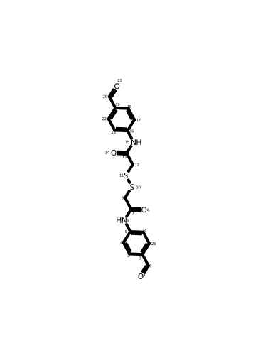 O=Cc1ccc(NC(=O)CSSCC(=O)Nc2ccc(C=O)cc2)cc1